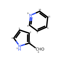 O=Cc1ccc[nH]1.c1ccncc1